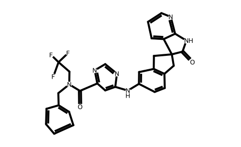 O=C(c1cc(Nc2ccc3c(c2)CC2(C3)C(=O)Nc3ncccc32)ncn1)N(Cc1ccccc1)CC(F)(F)F